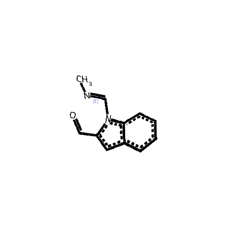 C/N=C/n1c(C=O)cc2ccccc21